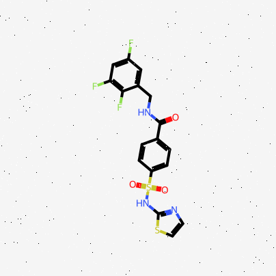 O=C(NCc1cc(F)cc(F)c1F)c1ccc(S(=O)(=O)Nc2nccs2)cc1